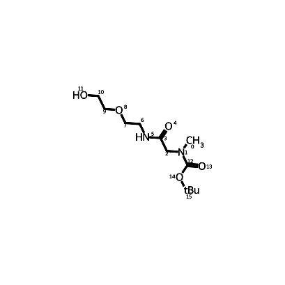 CN(CC(=O)NCCOCCO)C(=O)OC(C)(C)C